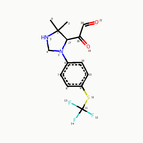 CC1(C)NCN(c2ccc(SC(F)(F)F)cc2)C1C(=O)C=O